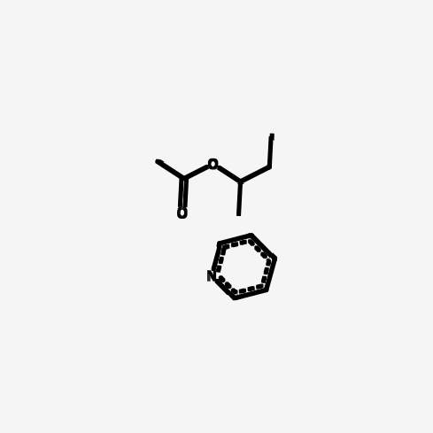 CCC(C)OC(C)=O.c1ccncc1